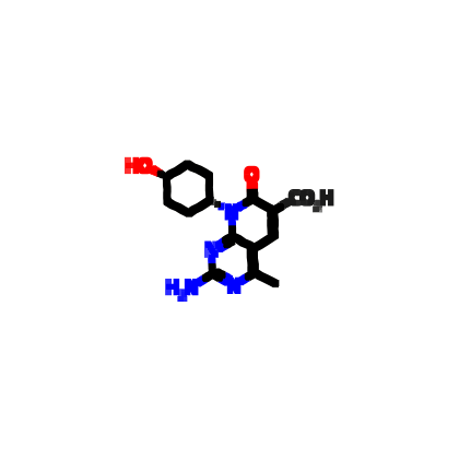 Cc1nc(N)nc2c1cc(C(=O)O)c(=O)n2[C@H]1CC[C@H](O)CC1